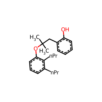 CCCc1cccc(OC(C)(C)Cc2ccccc2O)c1CCC